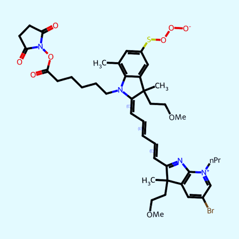 CCC[n+]1cc(Br)cc2c1N=C(/C=C/C=C/C=C1/N(CCCCCC(=O)ON3C(=O)CCC3=O)c3c(C)cc(SOO[O-])cc3C1(C)CCOC)C2(C)CCOC